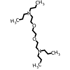 CCCN(CCC)CCOCCOCCN(CCC)CCC